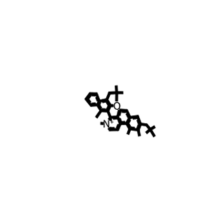 Cc1c(CC(C)(C)C)cc2cc3c4c([n+](C)ccc4c2c1C)-c1c(c(CC(C)(C)C)c2ccccc2c1C)O3